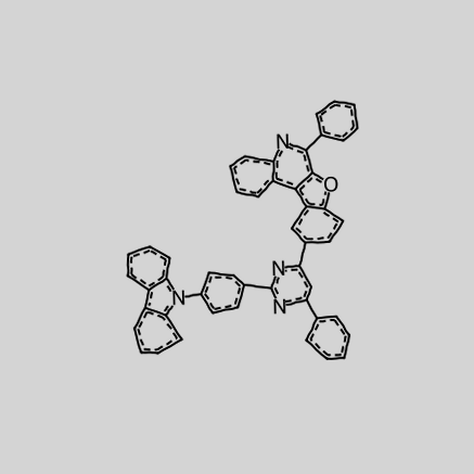 c1ccc(-c2cc(-c3ccc4oc5c(-c6ccccc6)nc6ccccc6c5c4c3)nc(-c3ccc(-n4c5ccccc5c5ccccc54)cc3)n2)cc1